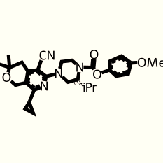 COc1ccc(OC(=O)N2CCN(c3nc(C4CC4)c4c(c3C#N)CC(C)(C)OC4)C[C@H]2C(C)C)cc1